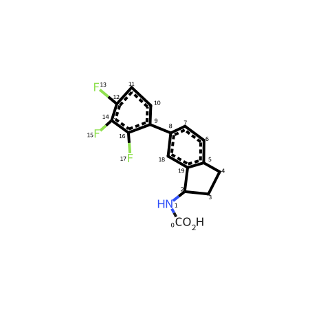 O=C(O)NC1CCc2ccc(-c3ccc(F)c(F)c3F)cc21